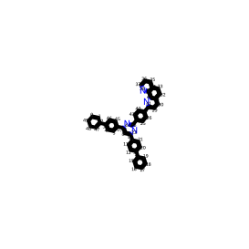 C1=CC(c2ccc(-c3cc(-c4ccc(-c5ccccc5)cc4)nc(-c4ccc(-c5ccc6ccc7cccnc7c6n5)cc4)n3)cc2)=CCC1